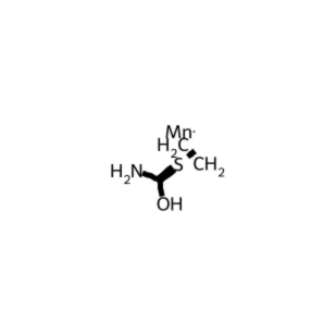 C=C.NC(O)=S.[Mn]